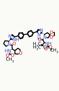 COC(=O)N[C@H](C(=O)N1CCC[C@H]1c1ncc(-c2ccc(-c3ccc(-c4cnc([C@@H]5CC6(CN5C(=O)[C@@H](NC(=O)OC)C(C)(C)C)OCCO6)[nH]4)cc3)cc2)[nH]1)C1CCOCC1